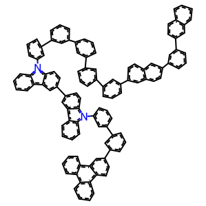 c1cc(-c2cccc(-c3cccc(-c4ccc5cc(-c6cccc(-c7ccc8ccccc8c7)c6)ccc5c4)c3)c2)cc(-c2cccc(-c3cccc(-n4c5ccccc5c5cc(-c6ccc7c(c6)c6ccccc6n7-c6cccc(-c7cccc(-c8ccc9c%10ccccc%10c%10ccccc%10c9c8)c7)c6)ccc54)c3)c2)c1